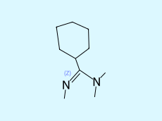 C/N=C(/C1CCCCC1)N(C)C